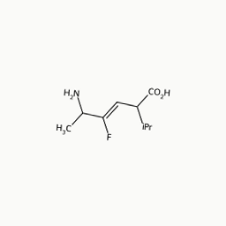 CC(N)/C(F)=C/C(C(=O)O)C(C)C